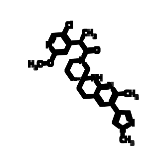 COc1cc([C@@H](C)C(=O)N2CCC[C@]3(CCc4cc(-c5cnn(C)c5)c(C)nc4N3)C2)c(Cl)cn1